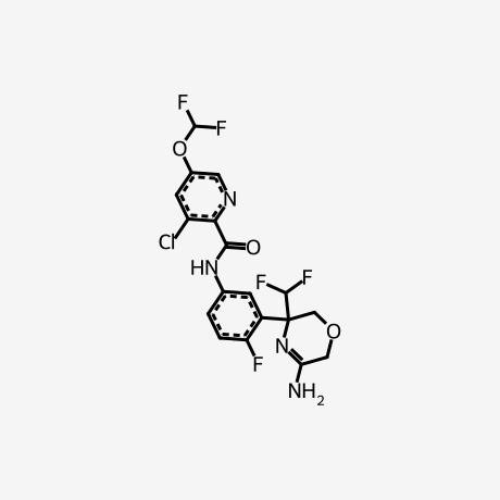 NC1=NC(c2cc(NC(=O)c3ncc(OC(F)F)cc3Cl)ccc2F)(C(F)F)COC1